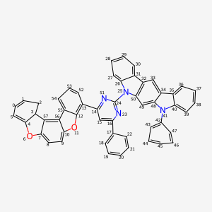 C1=CCC2C(=C1)Oc1ccc3oc4c(-c5cc(-c6ccccc6)nc(-n6c7ccccc7c7cc8c9ccccc9n(-c9ccccc9)c8cc76)n5)cccc4c3c12